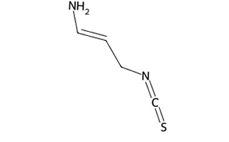 NC=CCN=C=S